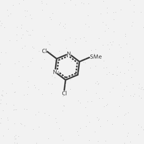 CSc1cc(Cl)nc(Cl)n1